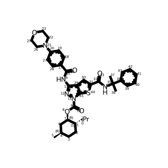 CC(C)[C@@H]1CC[C@@H](C)C[C@H]1OC(=O)n1nc(NC(=O)c2ccc(N3CCOCC3)cc2)c2cc(C(=O)NC(C)(C)c3ccccc3)sc21